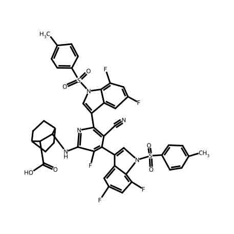 Cc1ccc(S(=O)(=O)n2cc(-c3nc(NC4C5CCC(CC5)C4C(=O)O)c(F)c(-c4cn(S(=O)(=O)c5ccc(C)cc5)c5c(F)cc(F)cc45)c3C#N)c3cc(F)cc(F)c32)cc1